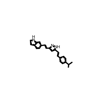 CC(C)c1ccc(C=Cc2cc(C=Cc3ccc4cc[nH]c4c3)n[nH]2)cc1